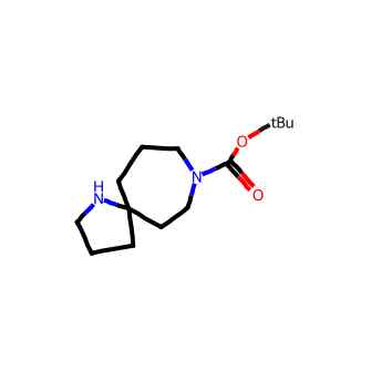 CC(C)(C)OC(=O)N1CCCC2(CCCN2)CC1